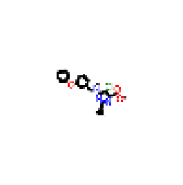 COC(=O)c1nc(C2CC2)nc(N(C)Cc2cccc(Oc3ccccc3)c2)c1Cl